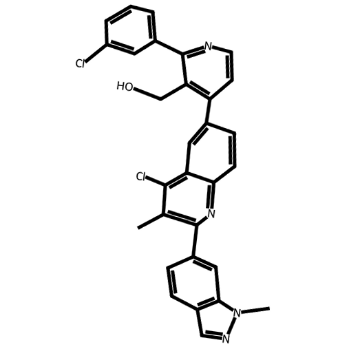 Cc1c(-c2ccc3cnn(C)c3c2)nc2ccc(-c3ccnc(-c4cccc(Cl)c4)c3CO)cc2c1Cl